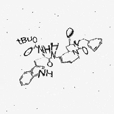 CC(C)(C)OC(=O)N[C@@H](Cc1c[nH]c2ccccc12)C(=O)NC1CCCN2C(=O)N(Cc3ccccc3)C(=O)CC12